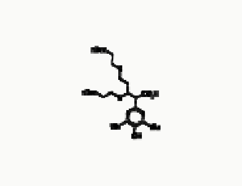 CCCCCCCCCCCCSCCC(SCCCCCCCCCCCC)C(C(=O)O)c1cc(C(C)(C)C)c(O)c(C(C)(C)C)c1